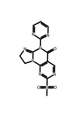 CS(=O)(=O)c1ncc2c(n1)N1CCN=C1N(c1ncccn1)C2=O